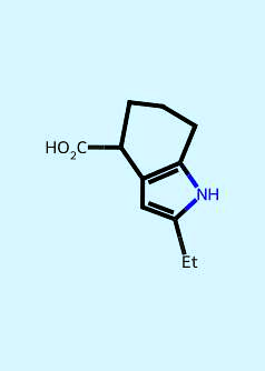 CCc1cc2c([nH]1)CCCC2C(=O)O